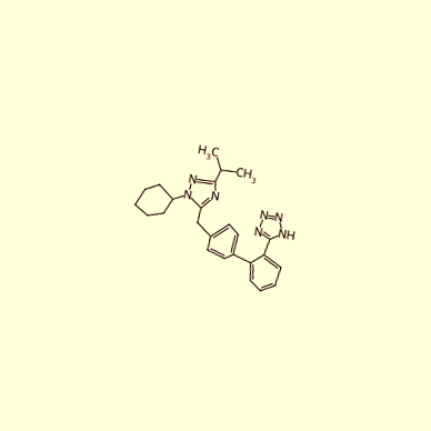 CC(C)c1nc(Cc2ccc(-c3ccccc3-c3nnn[nH]3)cc2)n(C2CCCCC2)n1